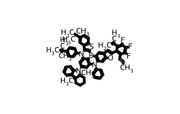 C=C(C)c1c(F)c(F)c(F)c(/C=C/C)c1-c1cc2cc3c(cc2o1)N(c1ccccc1)c1cc(N2c4ccccc4C4(C)CCCCC24C)cc2c1B3c1sc3ccc(C(C)(C)C)cc3c1N2c1ccc(C(C)(C)C)cc1